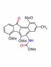 COC(=O)Nc1c(OC)c2c(c3c(OC)cc(C)cc13)C(=O)c1cccc(OC)c1-2